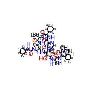 CCC[C@H](NC(=O)[C@@H]1CN(C(=O)Nc2ccccc2)C[C@@H]1NC(=O)[C@@H](NC(=O)[C@@H](NC(=O)c1cnccn1)C1CCCCC1)C(C)(C)C)C(O)C(=O)N[C@H](C(=O)N[C@H](C(=O)N(C)C)c1ccccc1)C(C)C